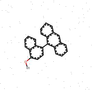 CCOc1ccc(-c2c3ccccc3cc3ccccc23)c2ccccc12